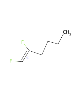 [CH2]CCC/C(F)=C/F